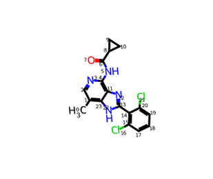 Cc1cnc(NC(=O)C2CC2)c2nc(-c3c(Cl)cccc3Cl)[nH]c12